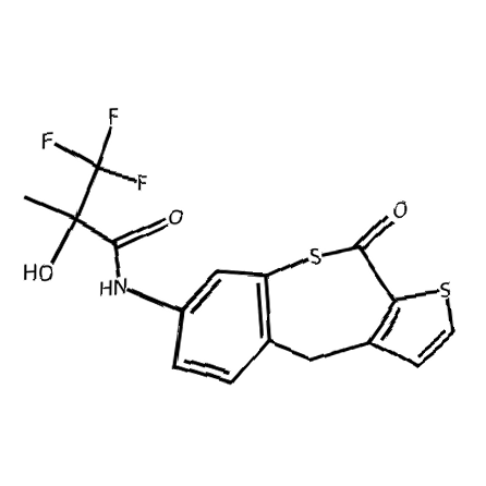 CC(O)(C(=O)Nc1ccc2c(c1)SC(=O)c1sccc1C2)C(F)(F)F